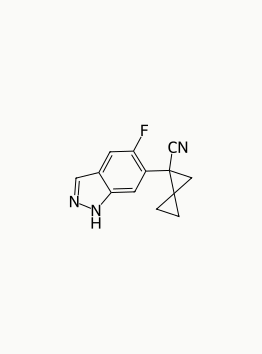 N#CC1(c2cc3[nH]ncc3cc2F)CC12CC2